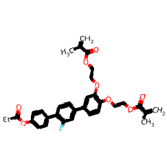 C=C(C)C(=O)OCCOc1ccc(-c2ccc(-c3ccc(OC(=O)CC)cc3)c(F)c2)cc1OCCOC(=O)C(=C)C